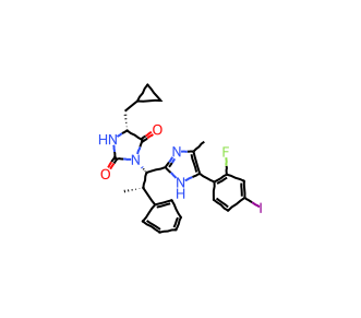 Cc1nc([C@H]([C@@H](C)c2ccccc2)N2C(=O)N[C@H](CC3CC3)C2=O)[nH]c1-c1ccc(I)cc1F